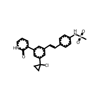 CS(=O)(=O)Nc1ccc(C=Cc2cc(-c3ccc[nH]c3=O)cc(C3(Cl)CC3)c2)cc1